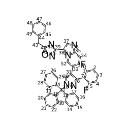 Fc1cccc(F)c1-c1nn(C(c2ccccc2)(c2ccccc2)C2C=CC=CC2)cc1-c1ccc2ncc(-c3noc(Cc4ccccc4)n3)n2c1